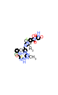 Cc1nc(Nc2ncc(C(=O)Nc3c(C)cccc3Cl)s2)cc(N2CCC(CN3CC(C)N(c4cc5c(cc4F)C(=O)N(C4CCC(=O)NC4=O)C5=O)C(C)C3)CC2)n1